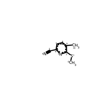 CSc1nc(C#N)ccc1C